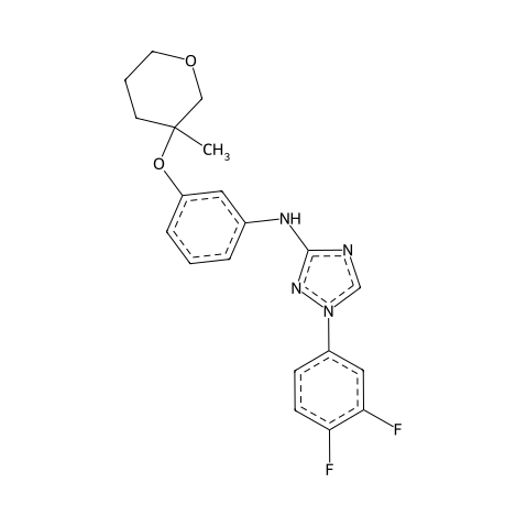 CC1(Oc2cccc(Nc3ncn(-c4ccc(F)c(F)c4)n3)c2)CCCOC1